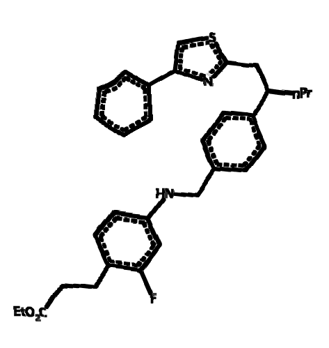 CCCC(Cc1nc(-c2ccccc2)cs1)c1ccc(CNc2ccc(CCC(=O)OCC)c(F)c2)cc1